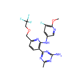 COc1ncc(Nc2nc(COCC(F)(F)F)ccc2-c2nc(C)nc(N)n2)cc1F